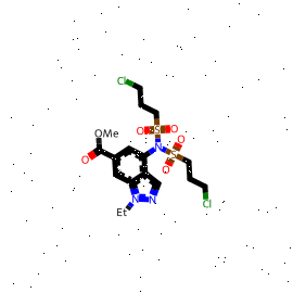 CCn1ncc2c(N(S(=O)(=O)CCCCl)S(=O)(=O)CCCCl)cc(C(=O)OC)cc21